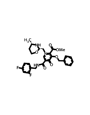 COC(=O)c1c(OCc2ccccc2)c(=O)c(C(=O)NCc2ccc(F)cc2F)cn1C[C@H]1N[C@@H](C)CCO1